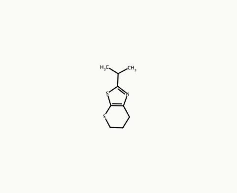 CC(C)c1nc2c(s1)SCCC2